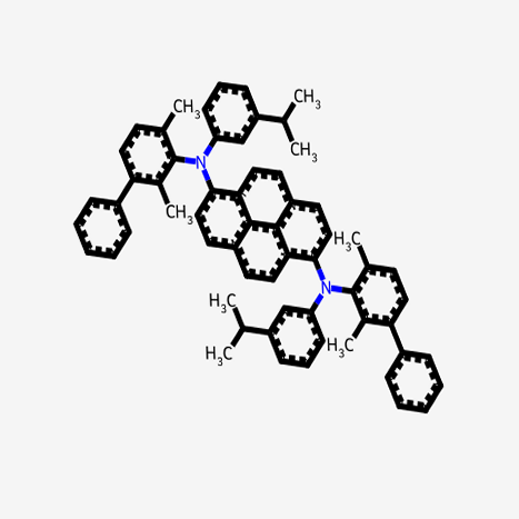 Cc1ccc(-c2ccccc2)c(C)c1N(c1cccc(C(C)C)c1)c1ccc2ccc3c(N(c4cccc(C(C)C)c4)c4c(C)ccc(-c5ccccc5)c4C)ccc4ccc1c2c43